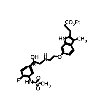 CCOC(=O)CCc1[nH]c2cc(OCCNC[C@H](O)c3ccc(F)c(NS(C)(=O)=O)c3)ccc2c1C